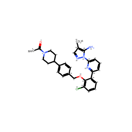 COC(=O)N1CCC(c2ccc(COc3c(Cl)cccc3-c3cccc(-n4ncc(C(=O)O)c4N)n3)cc2)CC1